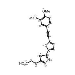 COc1ccc(C#Cc2ccc(-c3nnc(SCC(=O)O)[nH]3)o2)cc1OC